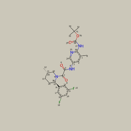 Cc1cc(NC(=O)C(=O)N2C[C@@H](C)CC[C@@H]2c2cc(F)cc(F)c2)cnc1NC(=O)OC(C)(C)C